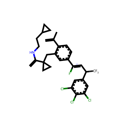 C=C(C)c1ccc(/C(F)=C/C(c2cc(Cl)c(Cl)c(Cl)c2)C(F)(F)F)cc1CC1(C(=C)NCCC2CC2)CC1